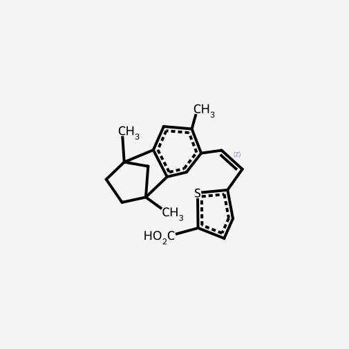 Cc1cc2c(cc1/C=C\c1ccc(C(=O)O)s1)C1(C)CCC2(C)C1